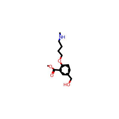 CNCCCCOc1ccc(CO)cc1C(=O)OC